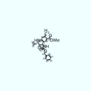 COC(=O)c1cc2c(cc1C)N[C@@H](C1CC1)[C@H](C)[C@H]2NC(=O)OCc1ccccc1